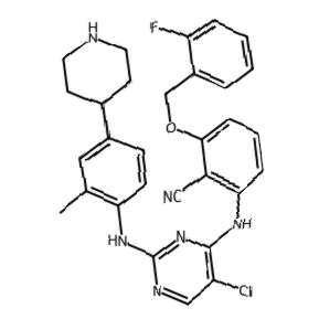 Cc1cc(C2CCNCC2)ccc1Nc1ncc(Cl)c(Nc2cccc(OCc3ccccc3F)c2C#N)n1